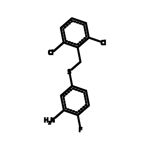 Nc1cc(SCc2c(Cl)cccc2Cl)ccc1F